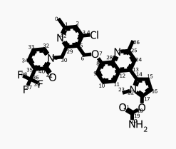 Cc1cc(Cl)c(COc2cccc3c(-c4ccc(OC(N)=O)n4C)cc(C)nc23)c(Cn2cccc(C(F)(F)F)c2=O)n1